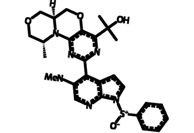 CNc1cnc2c(ccn2[S+]([O-])c2ccccc2)c1-c1nc2c(c(C(C)(C)O)n1)OC[C@@H]1COC[C@@H](C)N21